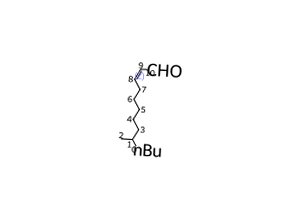 CCCCC(C)CCCCC/C=C\C=O